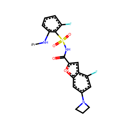 CC(C)Nc1cccc(F)c1S(=O)(=O)NC(=O)c1cc2c(F)cc(N3CCC3)cc2o1